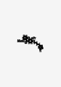 CCCc1c(OCCCCc2nnn(C)n2)ccc(C(=O)c2ccccc2OC)c1O